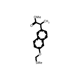 COC(=O)C(C)c1ccc2cc(OCSC)ccc2c1